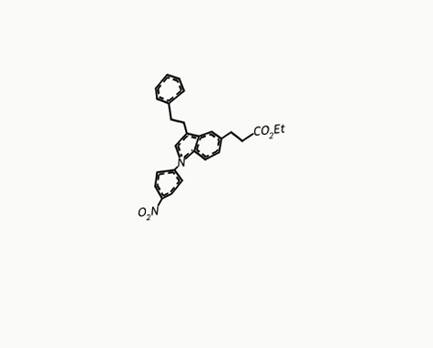 CCOC(=O)CCc1ccc2c(c1)c(CCc1ccccc1)cn2-c1ccc([N+](=O)[O-])cc1